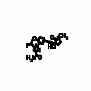 CN1CC[C@@](O)(C#Cc2ccc3c(c2)-n2nc(C(N)=O)cc2C(F)CO3)C1=O